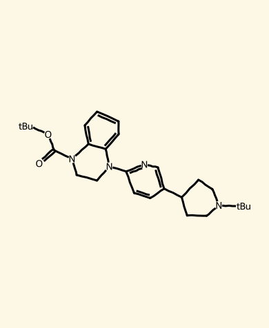 CC(C)(C)OC(=O)N1CCN(c2ccc(C3CCN(C(C)(C)C)CC3)cn2)c2ccccc21